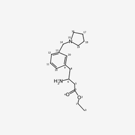 CCOC(=O)CC(N)Cc1cccc(CN2CCCC2)c1